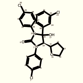 O=C1N(c2ccc(Cl)cc2)[C@H](C2CCCO2)C(O)(c2cccc(Cl)c2)N1c1ccc(Cl)cc1